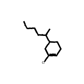 CCCCC(C)C1CCC=C(Cl)C1